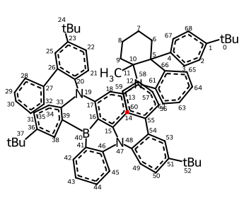 CC(C)(C)c1ccc(C23CCCCC2(C)N(c2cc4c5c(c2)N(c2ccc(C(C)(C)C)cc2-c2ccccc2)c2ccc(C(C)(C)C)cc2B5c2ccccc2N4c2ccc(C(C)(C)C)cc2-c2ccccc2)c2ccccc23)cc1